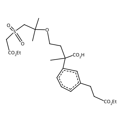 CCOC(=O)CCc1cccc(C(C)(CCOC(C)(C)CS(=O)(=O)CC(=O)OCC)C(=O)O)c1